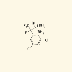 BC(B)(B)C(F)(c1cc(Cl)[c]c(Cl)c1)C(F)(F)F